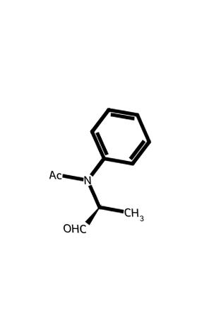 CC(=O)N(c1ccccc1)[C@@H](C)C=O